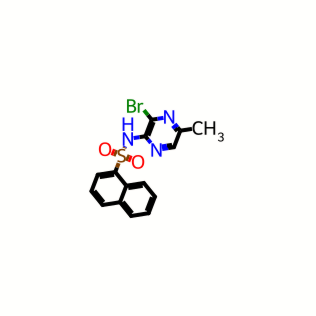 Cc1cnc(NS(=O)(=O)c2cccc3ccccc23)c(Br)n1